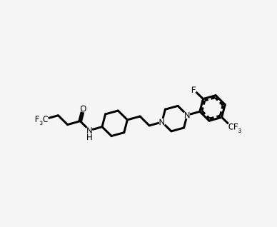 O=C(CCC(F)(F)F)NC1CCC(CCN2CCN(c3cc(C(F)(F)F)ccc3F)CC2)CC1